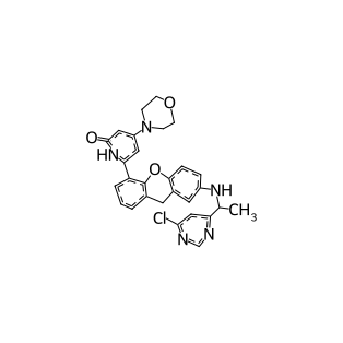 CC(Nc1ccc2c(c1)Cc1cccc(-c3cc(N4CCOCC4)cc(=O)[nH]3)c1O2)c1cc(Cl)ncn1